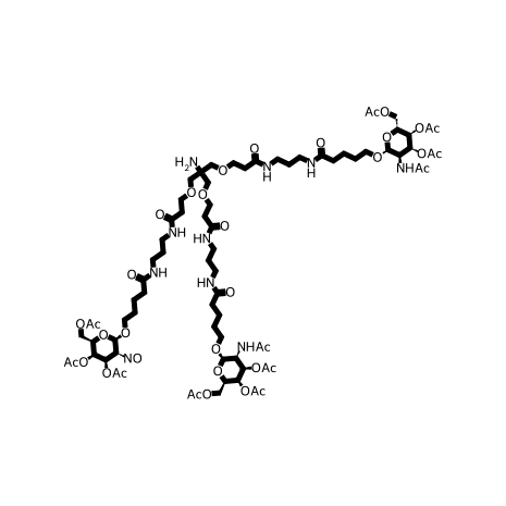 CC(=O)N[C@H]1[C@H](OCCCCC(=O)NCCCNC(=O)CCOCC(N)(COCCC(=O)NCCCNC(=O)CCCCO[C@@H]2O[C@H](COC(C)=O)[C@H](OC(C)=O)[C@H](OC(C)=O)[C@H]2N=O)COCCC(=O)NCCCNC(=O)CCCCO[C@@H]2O[C@H](COC(C)=O)[C@H](OC(C)=O)[C@H](OC(C)=O)[C@H]2NC(C)=O)O[C@H](COC(C)=O)[C@H](OC(C)=O)[C@@H]1OC(C)=O